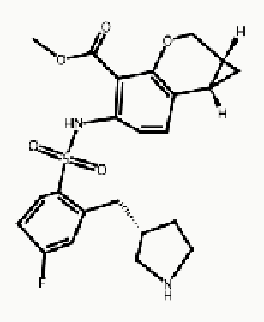 COC(=O)c1c(NS(=O)(=O)c2ccc(F)cc2C[C@@H]2CCNC2)ccc2c1OC[C@@H]1C[C@H]21